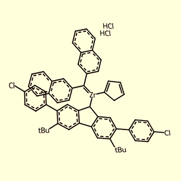 CC(C)(C)c1cc2c(cc1-c1ccc(Cl)cc1)[CH]([Zr]([C]1=CC=CC1)=[C](c1ccc3ccccc3c1)c1ccc3ccccc3c1)c1cc(-c3ccc(Cl)cc3)c(C(C)(C)C)cc1-2.Cl.Cl